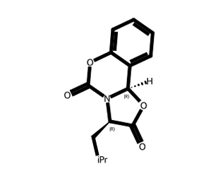 CC(C)C[C@@H]1C(=O)O[C@@H]2c3ccccc3OC(=O)N12